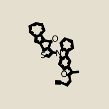 C#C/C=C\c1oc2cc3c(cc2c1C)c1ccccc1n3-c1csc2c1C(=O)c1c3cccccc-3cc1-2